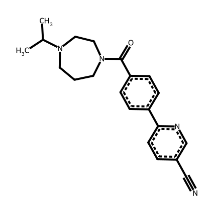 CC(C)N1CCCN(C(=O)c2ccc(-c3ccc(C#N)cn3)cc2)CC1